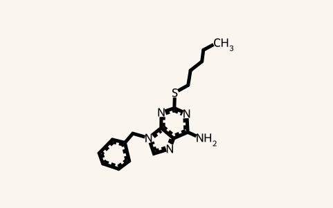 CCCCCSc1nc(N)c2ncn(Cc3ccccc3)c2n1